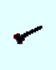 CCCCCCCCCCCCCCCC(=O)NC(CC(=O)[O-])C[N+](C)(C)C